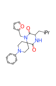 CC(C)CC1NC(=O)C2(CCN(c3ccccc3)CC2)N(Cc2ccco2)C1=O